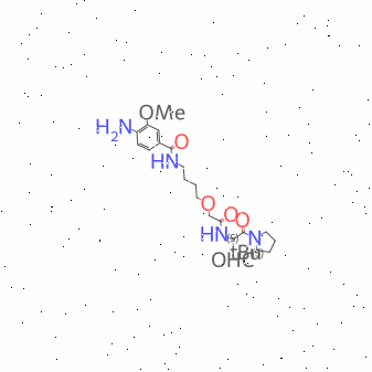 COc1cc(C(=O)NCCCCOCC(=O)N[C@H](C(=O)N2CCC[C@H]2C=O)C(C)(C)C)ccc1N